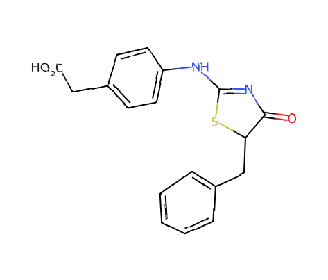 O=C(O)Cc1ccc(NC2=NC(=O)C(Cc3ccccc3)S2)cc1